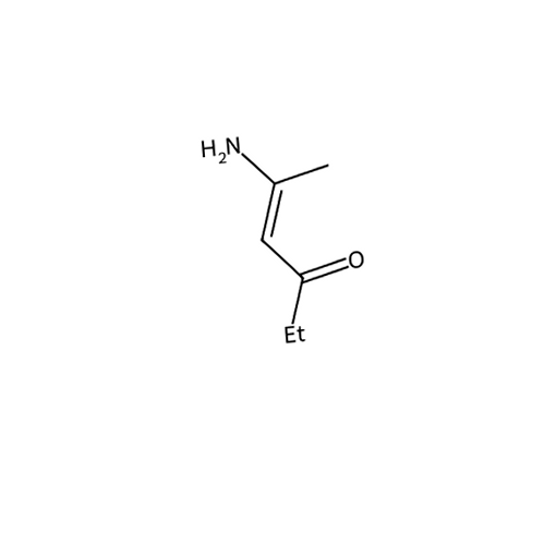 CCC(=O)/C=C(\C)N